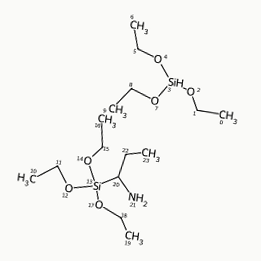 CCO[SiH](OCC)OCC.CCO[Si](OCC)(OCC)C(N)CC